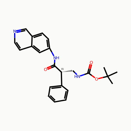 CC(C)(C)OC(=O)NC[C@@H](C(=O)Nc1ccc2cnccc2c1)c1c[c]ccc1